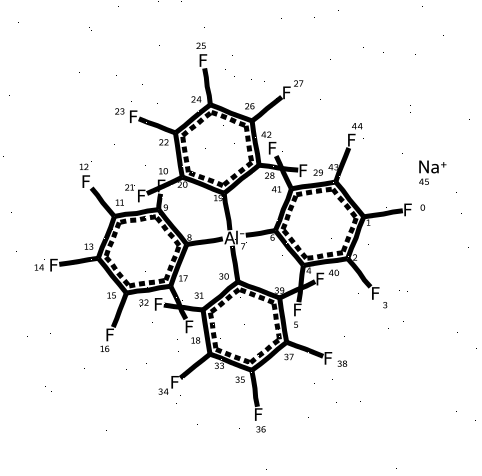 Fc1c(F)c(F)[c]([Al-]([c]2c(F)c(F)c(F)c(F)c2F)([c]2c(F)c(F)c(F)c(F)c2F)[c]2c(F)c(F)c(F)c(F)c2F)c(F)c1F.[Na+]